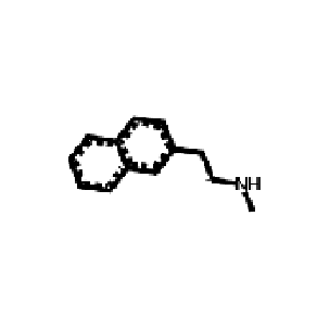 CN[CH]Cc1ccc2ccccc2c1